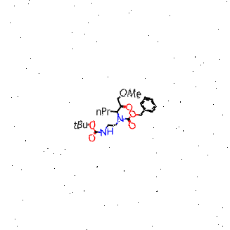 CCCC(C(=O)COC)N(CCNC(=O)OC(C)(C)C)C(=O)OCc1ccccc1